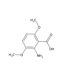 COc1ccc(OC)c(C(=O)O)c1N